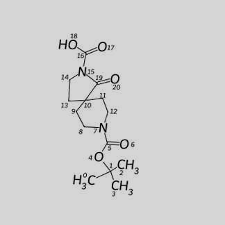 CC(C)(C)OC(=O)N1CCC2(CC1)CCN(C(=O)O)C2=O